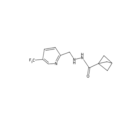 O=C(NNCc1ccc(C(F)(F)F)cn1)C12CC(C1)C2